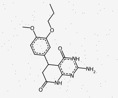 CCCOc1cc(C2CC(=O)Nc3nc(N)[nH]c(=O)c32)ccc1OC